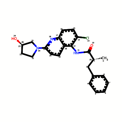 C[C@H](Cc1ccccc1)C(=O)Nc1c(Cl)ccc2nc(N3CC[C@@H](O)C3)ccc12